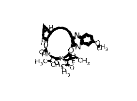 CC[C@]1(F)[C@@H]2CN(C(=O)[C@H](C(C)C)NC(=O)O[C@@H]3CC4CC4[C@H]3CCCCCc3nc4ccc(OC)cc4nc3O2)[C@@H]1C(C)=O